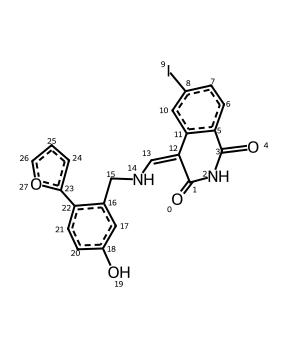 O=C1NC(=O)c2ccc(I)cc2/C1=C/NCc1cc(O)ccc1-c1ccco1